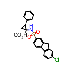 O=C(O)C1(NS(=O)(=O)c2ccc3c(c2)Cc2cc(Cl)ccc2-3)C[C@H]1c1ccccc1